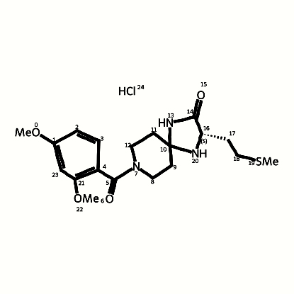 COc1ccc(C(=O)N2CCC3(CC2)NC(=O)[C@H](CCSC)N3)c(OC)c1.Cl